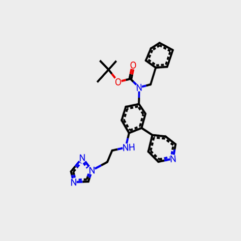 CC(C)(C)OC(=O)N(Cc1ccccc1)c1ccc(NCCn2cncn2)c(-c2ccncc2)c1